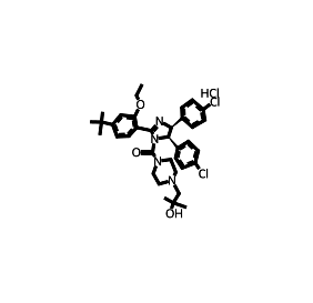 CCOc1cc(C(C)(C)C)ccc1C1=N[C@@H](c2ccc(Cl)cc2)[C@@H](c2ccc(Cl)cc2)N1C(=O)N1CCN(CC(C)(C)O)CC1.Cl